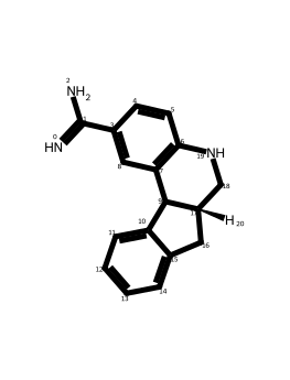 N=C(N)c1ccc2c(c1)C1c3ccccc3C[C@H]1CN2